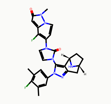 Cc1cc(-n2nc3c(c2-n2ccn(-c4ccn5c(cc(=O)n5C)c4F)c2=O)[C@@H]2CC[C@H](C3)N2)cc(C)c1F